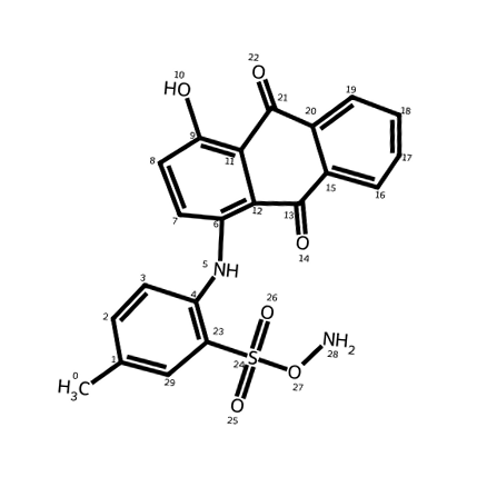 Cc1ccc(Nc2ccc(O)c3c2C(=O)c2ccccc2C3=O)c(S(=O)(=O)ON)c1